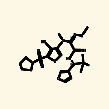 CS/N=C(\C(=N)N[C@@H](c1ccoc1)C(C)(C)C)N(C)c1csc(S(=O)(=O)N2CCCC2)c1O